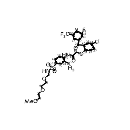 COCCOCCOCNS(=O)(=O)c1ccc(NC(=O)COc2ccc(Cl)cc2C(=O)c2cc(F)cc(C(F)(F)F)c2)c(C)c1